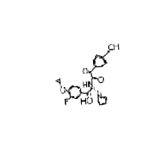 C#Cc1ccc(C(=O)C(=O)N[C@H](Cn2cccc2)[C@H](O)c2ccc(OC3CC3)c(F)c2)cc1